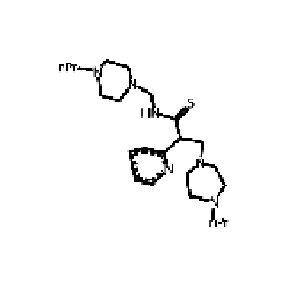 CCCN1CCN(CNC(=S)C(CN2CCN(CCC)CC2)c2ccccn2)CC1